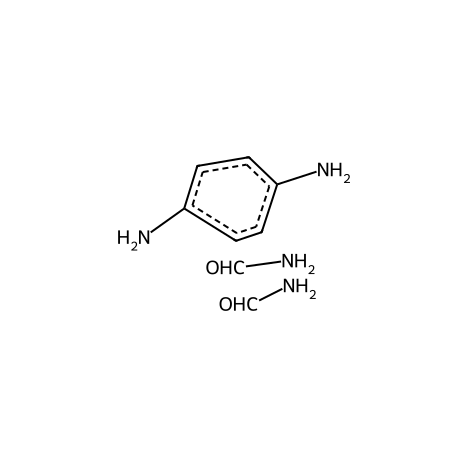 NC=O.NC=O.Nc1ccc(N)cc1